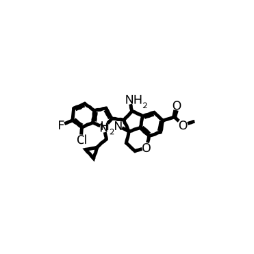 COC(=O)c1cc2c3c(c1)C(N)C(c1cc4ccc(F)c(Cl)c4n1CC1CC1)C3(N)CCO2